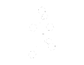 O=C(c1cccc(-c2cc3ccccc3n2S(=O)(=O)c2ccccc2)c1)c1cc2ccccc2n1SOOc1ccccc1